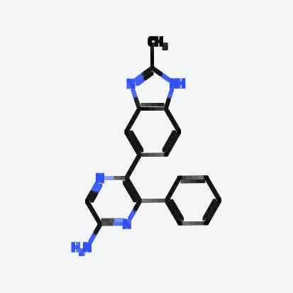 Cc1nc2cc(-c3ncc(N)nc3-c3ccccc3)ccc2[nH]1